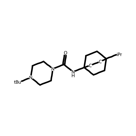 CC(C)C12CCC(NC(=O)N3CCN(C(C)(C)C)CC3)(CC1)CC2